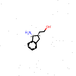 N[C@H]1c2ccccc2C[C@@H]1CCO